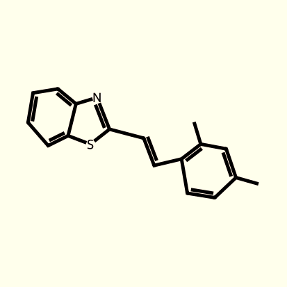 Cc1ccc(C=Cc2nc3ccccc3s2)c(C)c1